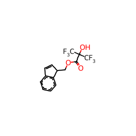 O=C(OCC1C=Cc2ccccc21)C(O)(C(F)(F)F)C(F)(F)F